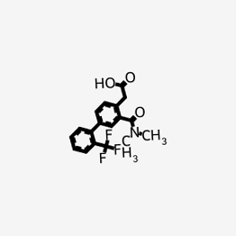 CN(C)C(=O)c1cc(-c2ccccc2C(F)(F)F)ccc1CC(=O)O